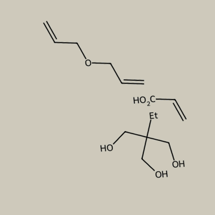 C=CC(=O)O.C=CCOCC=C.CCC(CO)(CO)CO